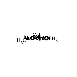 Cc1cn(-c2ccc(-c3cnc(N4CC5(CCN(C)CC5)C4)nn3)c(O)c2)cn1